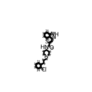 O=C(NC1CCN(CCCc2ccccc2Cl)CC1)C1=Cc2n[nH]c3cccc(c23)S1